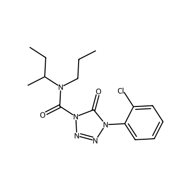 CCCN(C(=O)n1nnn(-c2ccccc2Cl)c1=O)C(C)CC